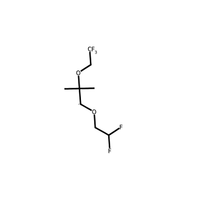 CC(C)([CH]OCC(F)F)OCC(F)(F)F